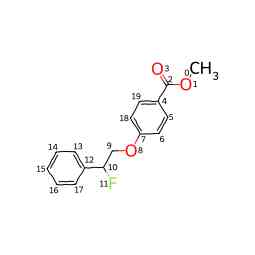 COC(=O)c1ccc(OCC(F)c2ccccc2)cc1